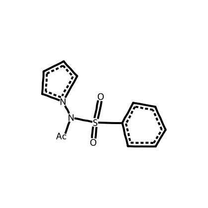 CC(=O)N(n1cccc1)S(=O)(=O)c1ccccc1